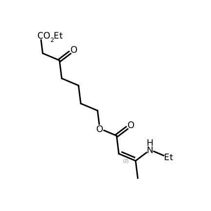 CCN/C(C)=C\C(=O)OCCCCC(=O)CC(=O)OCC